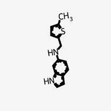 Cc1ccc(CNc2ccc3cc[nH]c3c2)s1